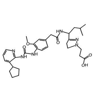 COc1cc(CC(=O)NC(CC(C)C)C2=NN(CCC(=O)O)CC2)ccc1NC(=O)Nc1ncccc1C1CCCC1